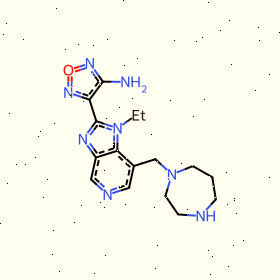 CCn1c(-c2nonc2N)nc2cncc(CN3CCCNCC3)c21